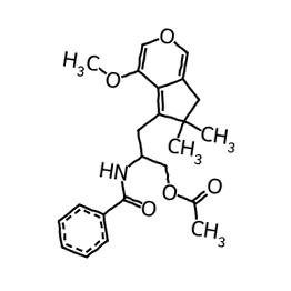 COC1=COC=C2CC(C)(C)C(CC(COC(C)=O)NC(=O)c3ccccc3)=C21